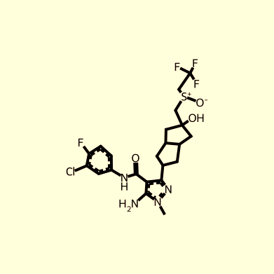 Cn1nc(C2CC3CC(O)(C[S+]([O-])CC(F)(F)F)CC3C2)c(C(=O)Nc2ccc(F)c(Cl)c2)c1N